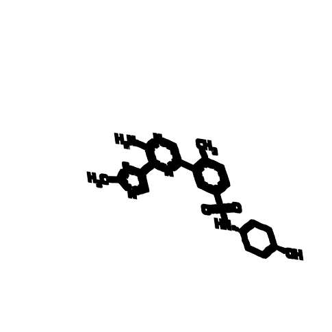 Cc1ncc(-c2nc(-c3cc(S(=O)(=O)N[C@H]4CC[C@H](O)CC4)ccc3C)cnc2N)s1